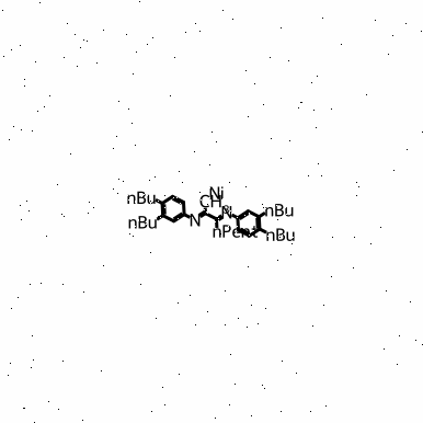 CCCCCC(=N\c1ccc(CCCC)c(CCCC)c1)/C(C)=N/c1ccc(CCCC)c(CCCC)c1.[Ni]